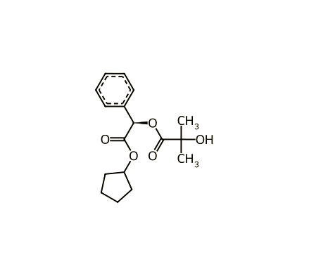 CC(C)(O)C(=O)O[C@@H](C(=O)OC1CCCC1)c1ccccc1